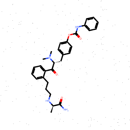 C[C@@H](NCCCc1ccccc1C(=O)[C@@H](Cc1ccc(OC(=O)Nc2ccccc2)cc1)N(C)C)C(N)=O